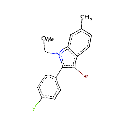 COCn1c(-c2ccc(F)cc2)c(Br)c2ccc(C)cc21